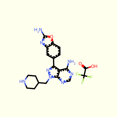 Nc1nc2cc(-c3nn(CC4CCNCC4)c4ncnc(N)c34)ccc2o1.O=C(O)C(F)(F)F